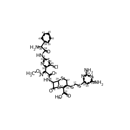 CON=C(C(=O)NC1C(=O)N2C(C(=O)O)=C(SCSc3cc(N)nc(N)n3)CSC12)c1nc(NC(=O)[C@@H](N)c2ccccc2)sc1Cl